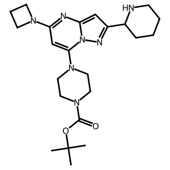 CC(C)(C)OC(=O)N1CCN(c2cc(N3CCC3)nc3cc(C4CCCCN4)nn23)CC1